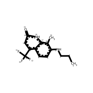 CCCNc1ccc2c(C(F)(F)F)cc(=O)[nH]c2c1C